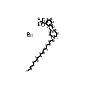 CCCCCCCCCCCCCCCCN1CCC[N+](C)(Cc2cccc(OC(F)(F)F)c2)CC1.[Br-]